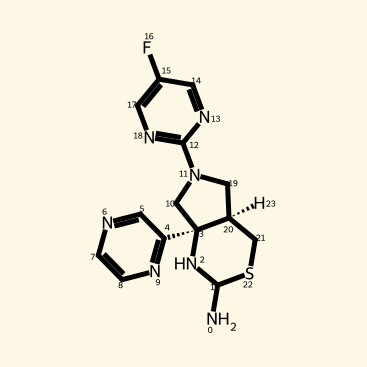 NC1N[C@@]2(c3cnccn3)CN(c3ncc(F)cn3)C[C@H]2CS1